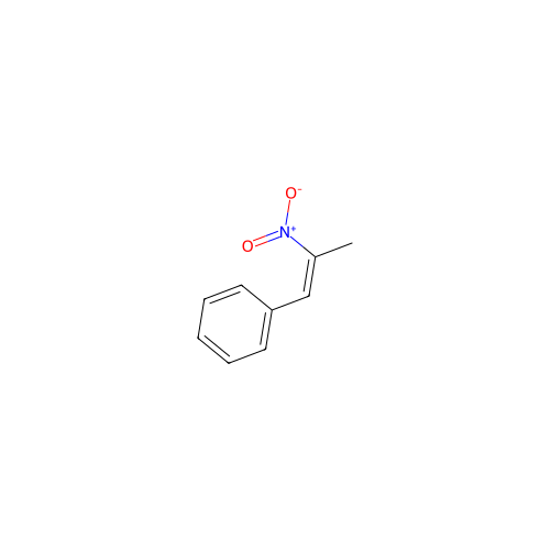 C/C(=C/c1ccccc1)[N+](=O)[O-]